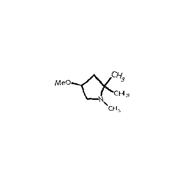 CO[C@@H]1CN(C)C(C)(C)C1